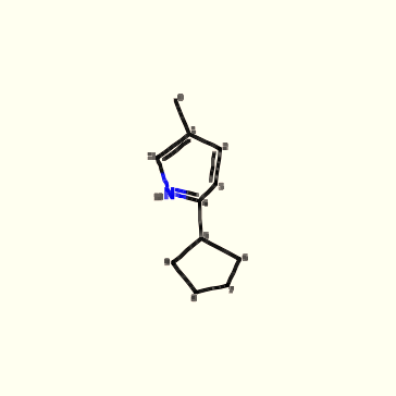 Cc1ccc(C2CCCC2)nc1